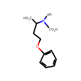 CCCN(C(=O)O)C(CCOc1ccccc1)C(=O)O